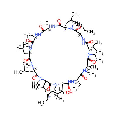 C/C=C/C[C@@H](C)[C@@H](O)[C@H]1C(=O)N[C@@H](CC)C(=O)N(C)[C@H](C)C(=O)N(CC)[C@@H](C(C)C)C(=O)N[C@@H](C(C)C)C(=O)N(C)[C@@H](CC(C)C)C(=O)N[C@@H](C)C(=O)N[C@H](C)C(=O)N(C)[C@@H](CC(C)C)C(=O)N(C)[C@@H](CC(C)C)C(=O)N(C)C(C(C)C)C(=O)N1C